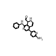 Nc1ccc(-c2cnc(Nc3ccccc3)c3c2C=CNC3C=O)cn1